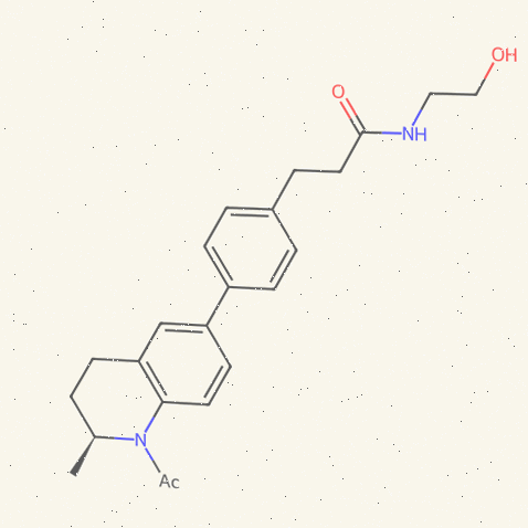 CC(=O)N1c2ccc(-c3ccc(CCC(=O)NCCO)cc3)cc2CC[C@@H]1C